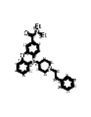 CCN(CC)C(=O)c1ccc2c(c1)Oc1ccccc1N2C1CCN(CCc2ccccc2)CC1